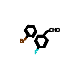 Brc1ccccc1.O=CCc1ccc(F)cc1